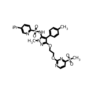 Cc1ccc(-c2c(OCCOc3nccc(S(C)(=O)=O)n3)nn(C)c2NS(=O)(=O)c2ccc(C(C)C)cn2)cc1